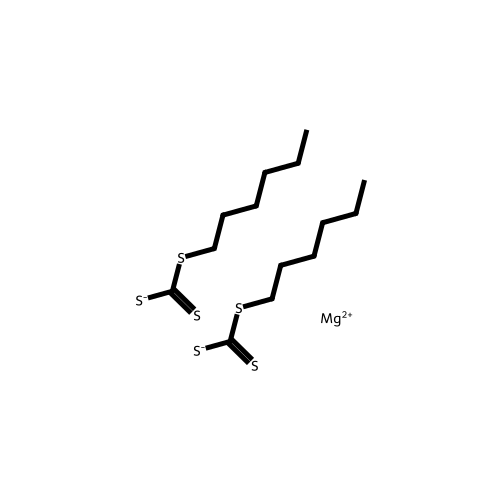 CCCCCCSC(=S)[S-].CCCCCCSC(=S)[S-].[Mg+2]